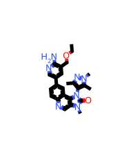 CCOCc1cc(-c2ccc3ncc4c(c3c2)n(-c2c(C)nn(C)c2C)c(=O)n4C)cnc1N